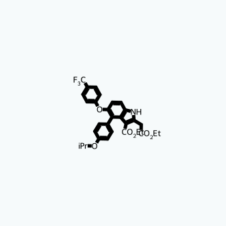 CCOC(=O)Cc1[nH]c2ccc(Oc3ccc(C(F)(F)F)cc3)c(-c3ccc(OC(C)C)cc3)c2c1C(=O)OCC